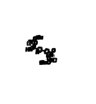 CC(C)(C)OC(=O)N1CCC[C@H]1CNC(=O)c1ccc(-c2ccc(-c3c[nH]c([C@@H]4CCCN4C(=O)OC(C)(C)C)n3)nc2)cc1